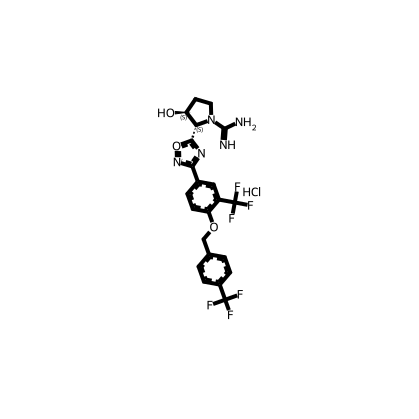 Cl.N=C(N)N1CC[C@H](O)[C@H]1c1nc(-c2ccc(OCc3ccc(C(F)(F)F)cc3)c(C(F)(F)F)c2)no1